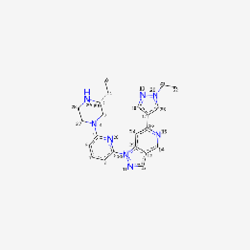 CC[C@@H]1CN(c2cccc(-n3ncc4cnc(-c5cnn(CC)c5)cc43)n2)CCN1